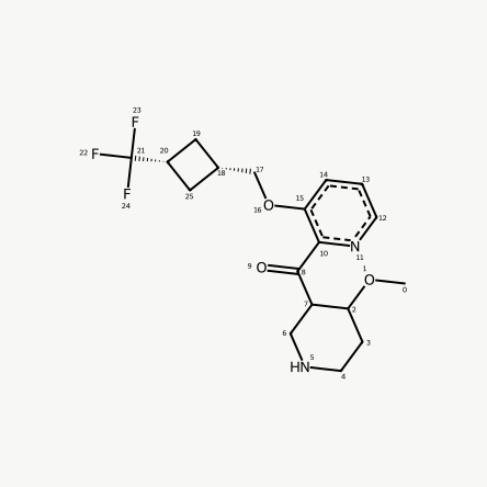 COC1CCNCC1C(=O)c1ncccc1OC[C@H]1C[C@@H](C(F)(F)F)C1